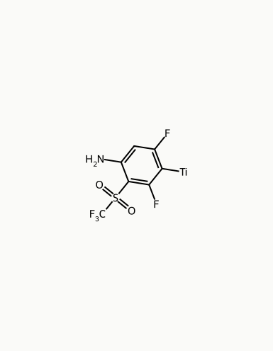 Nc1cc(F)[c]([Ti])c(F)c1S(=O)(=O)C(F)(F)F